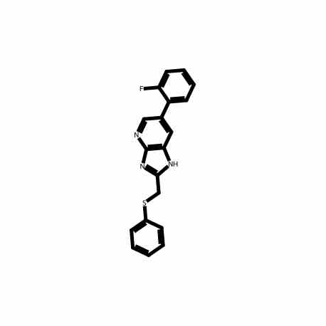 Fc1ccccc1-c1cnc2nc(CSc3ccccc3)[nH]c2c1